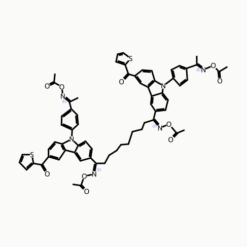 CC(=O)O/N=C(/CCCCCCCC/C(=N/OC(C)=O)c1ccc2c(c1)c1cc(C(=O)c3cccs3)ccc1n2-c1ccc(/C(C)=N/OC(C)=O)cc1)c1ccc2c(c1)c1cc(C(=O)c3cccs3)ccc1n2-c1ccc(/C(C)=N/OC(C)=O)cc1